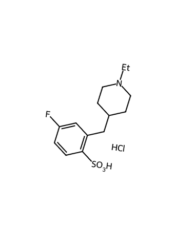 CCN1CCC(Cc2cc(F)ccc2S(=O)(=O)O)CC1.Cl